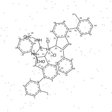 Cc1ccccc1-c1cccc2c1C=C(c1ccccc1)[CH]2[Hf]([Cl])([Cl])([B](NC=O)NC=O)[CH]1C(c2ccccc2)=Cc2c(-c3ccccc3C)cccc21